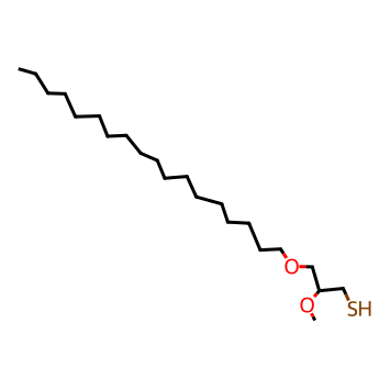 CCCCCCCCCCCCCCCCCCOCC(CS)OC